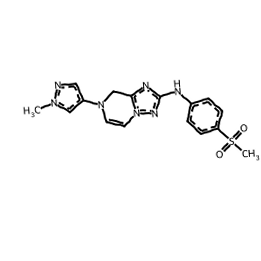 Cn1cc(N2C=Cn3nc(Nc4ccc(S(C)(=O)=O)cc4)nc3C2)cn1